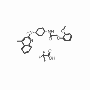 COc1ccccc1OCC(=O)N[C@H]1CC[C@@H](Nc2cc(C)c3ccccc3n2)CC1.O=C(O)C(F)(F)F